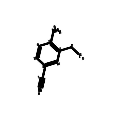 N#Cc1ccc(N)c(CF)c1